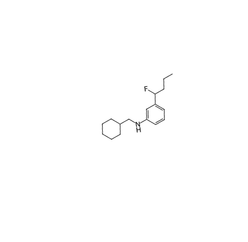 CCCC(F)c1cccc(NCC2CCCCC2)c1